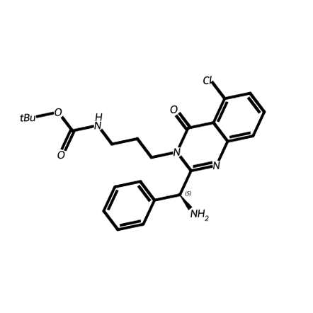 CC(C)(C)OC(=O)NCCCn1c([C@@H](N)c2ccccc2)nc2cccc(Cl)c2c1=O